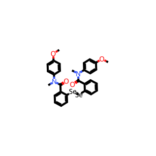 COc1ccc(N(C)C(=O)c2ccccc2[Se][Se]c2ccccc2C(=O)N(C)c2ccc(OC)cc2)cc1